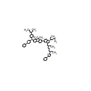 C=C/C=C(\C=C)c1ccc(N(C2=CCC(c3ccccc3)C=C2)c2ccc3c(c2)C(C)(C)c2cc(-c4ccc5c(c4)c(/C=C(C=C)/C=C/C=C(\C=C)c4ccc(-c6ccccc6)s4)cn5/C(C=C)=C/C=C)ccc2-3)cc1